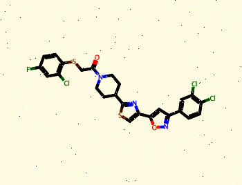 O=C(CSc1ccc(F)cc1Cl)N1CCC(c2nc(-c3cc(-c4ccc(Cl)c(Cl)c4)no3)cs2)CC1